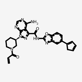 C=CC(=O)N1CCC[C@@H](n2nc(C(=O)Nc3nc4cc(C5=CC=CC5)ccc4o3)c3c(N)ncnc32)C1